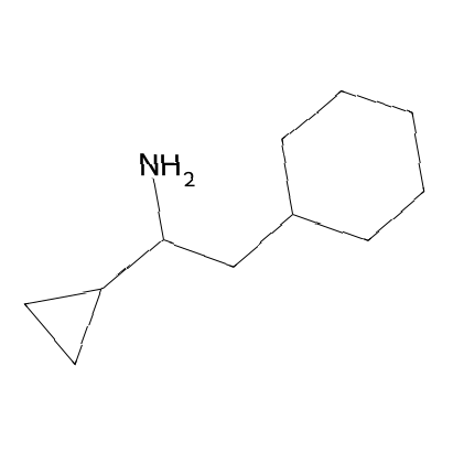 NC(CC1CCCCC1)C1CC1